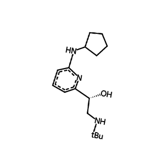 CC(C)(C)NC[C@@H](O)c1cccc(NC2CCCC2)n1